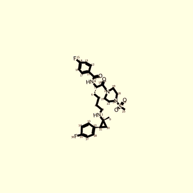 C[C@@]1(NCCCC[C@H](NC(=O)c2ccc(F)cc2)C(=O)N2CCN(S(C)(=O)=O)CC2)C[C@H]1c1ccc(F)cc1